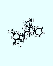 Nc1nc(Cl)nc2c1ncn2[C@@H]1O[C@H](CO)[C@@H]2OC3(CCCCC3)O[C@@H]21